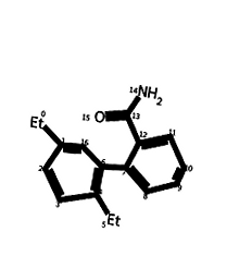 CCc1ccc(CC)c(-c2cc[c]cc2C(N)=O)c1